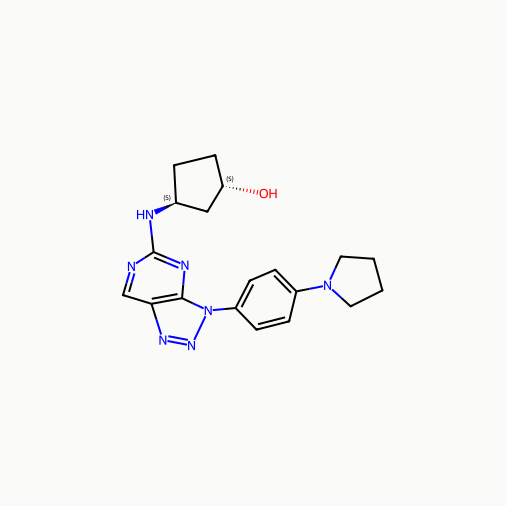 O[C@H]1CC[C@H](Nc2ncc3nnn(-c4ccc(N5CCCC5)cc4)c3n2)C1